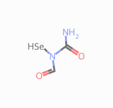 NC(=O)N([SeH])C=O